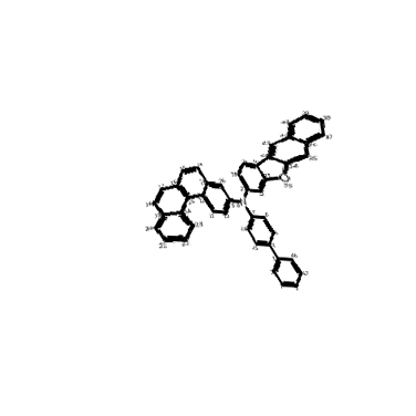 c1ccc(-c2ccc(N(c3ccc4c(ccc5ccc6ccccc6c54)c3)c3ccc4c(c3)oc3cc5ccccc5cc34)cc2)cc1